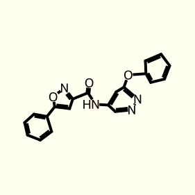 O=C(Nc1cnnc(Oc2ccccc2)c1)c1cc(-c2ccccc2)on1